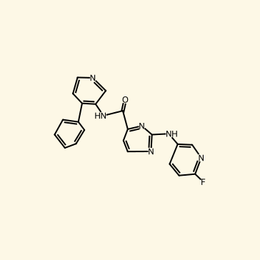 O=C(Nc1cnccc1-c1ccccc1)c1ccnc(Nc2ccc(F)nc2)n1